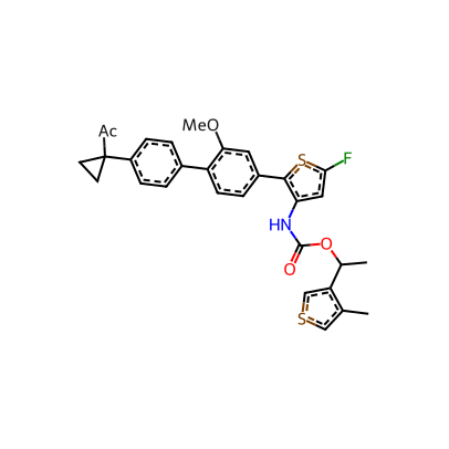 COc1cc(-c2sc(F)cc2NC(=O)OC(C)c2cscc2C)ccc1-c1ccc(C2(C(C)=O)CC2)cc1